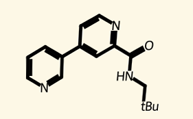 CC(C)(C)CNC(=O)c1cc(-c2cccnc2)ccn1